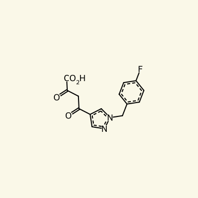 O=C(O)C(=O)CC(=O)c1cnn(Cc2ccc(F)cc2)c1